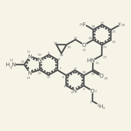 [2H]COc1ncc(-c2ccn3nc(N)nc3c2)cc1C(=O)NCc1cc(F)cc(F)c1OCC1CC1